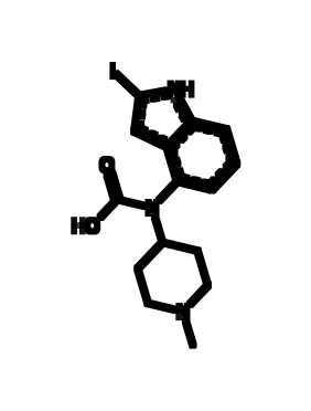 CN1CCC(N(C(=O)O)c2cccc3[nH]c(I)cc23)CC1